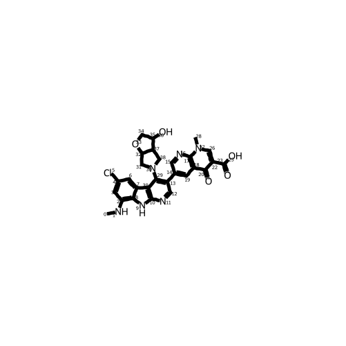 CNc1cc(Cl)cc2c1[nH]c1ncc(-c3cnc4c(c3)c(=O)c(C(=O)O)cn4C)c(N3CC4OCC(O)C4C3)c12